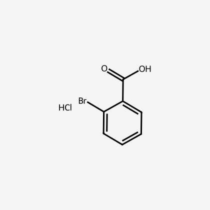 Cl.O=C(O)c1ccccc1Br